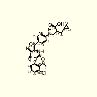 CC(OC(=O)Nc1c(C#N)noc1-c1ccc(NCC(CC2CC2)C(=O)O)nc1)c1ccccc1Cl